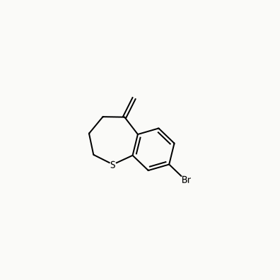 C=C1CCCSc2cc(Br)ccc21